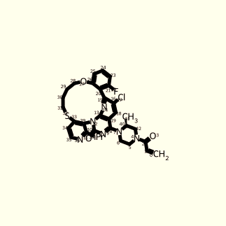 C=CC(=O)N1CCN(c2nc(=O)n3c4nc(c(Cl)cc24)-c2c(F)cccc2OCCCCSc2ccnc(C(C)C)c2-3)[C@@H](C)C1